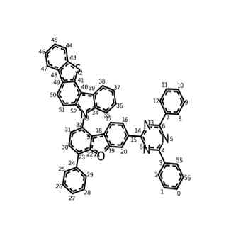 c1ccc(-c2nc(-c3ccccc3)nc(-c3ccc4c(c3)oc3c(-c5ccccc5)ccc(-n5c6ccccc6c6c7sc8ccccc8c7ccc65)c34)n2)cc1